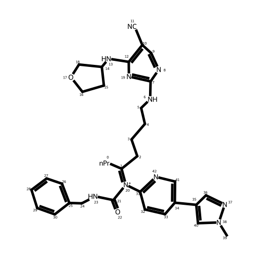 CCC/C(CCCCNc1ncc(C#N)c(NC2CCOC2)n1)=[N+](\C(=O)NCc1ccccc1)c1ccc(-c2cnn(C)c2)cn1